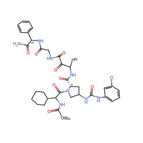 CCCC(NC(=O)[C@@H]1CC(NC(=O)Nc2cccc(Cl)c2)CN1C(=O)C(NC(=O)OCC(C)C)C1CCCCC1)C(=O)C(=O)NCC(=O)N[C@@H](C(N)=O)c1ccccc1